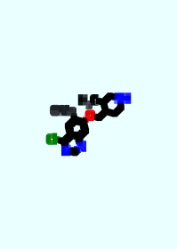 COc1cc2c(Cl)ncnc2cc1OCC1CCNCC1C